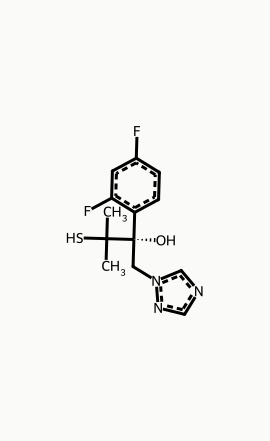 CC(C)(S)[C@](O)(Cn1cncn1)c1ccc(F)cc1F